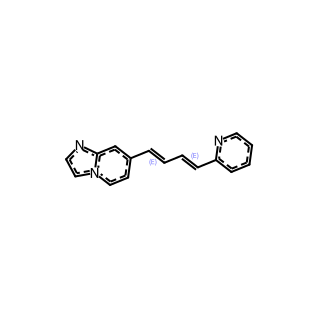 C(/C=C/c1ccccn1)=C\c1ccn2ccnc2c1